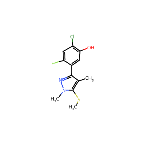 CSc1c(C)c(-c2cc(O)c(Cl)cc2F)nn1C